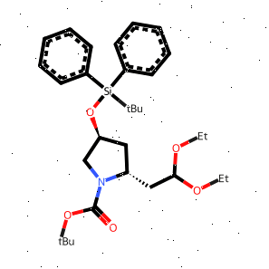 CCOC(C[C@H]1C[C@H](O[Si](c2ccccc2)(c2ccccc2)C(C)(C)C)CN1C(=O)OC(C)(C)C)OCC